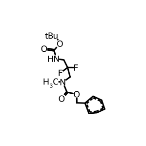 CN(CC(F)(F)CNC(=O)OC(C)(C)C)C(=O)OCc1ccccc1